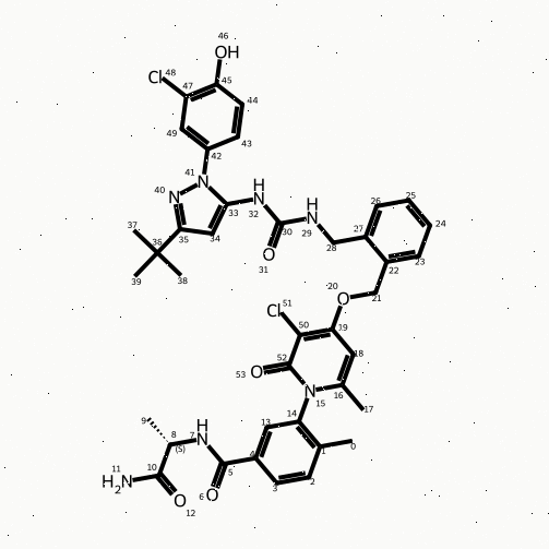 Cc1ccc(C(=O)N[C@@H](C)C(N)=O)cc1-n1c(C)cc(OCc2ccccc2CNC(=O)Nc2cc(C(C)(C)C)nn2-c2ccc(O)c(Cl)c2)c(Cl)c1=O